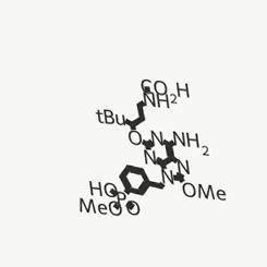 COc1nc2c(N)nc(OC(CCNC(=O)O)C(C)(C)C)nc2n1Cc1cccc(P(=O)(O)OC)c1